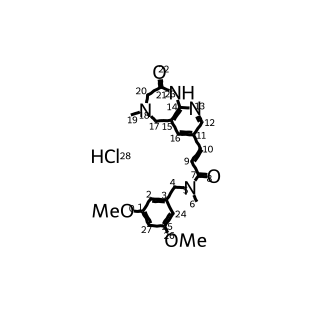 COc1cc(CN(C)C(=O)C=Cc2cnc3c(c2)CN(C)CC(=O)N3)cc(OC)c1.Cl